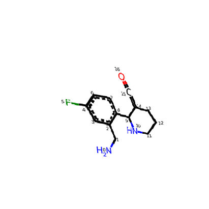 NCc1cc(F)ccc1C1NCCCC1=C=O